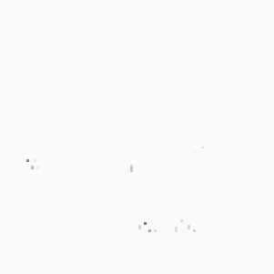 C=C(C)C(=O)OC(CCCC)[SiH2]C(C)(OC)OC